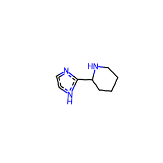 c1c[nH]c(C2CCCCN2)n1